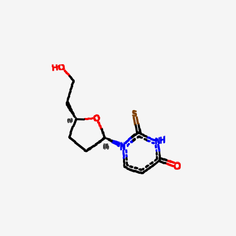 O=c1ccn([C@H]2CC[C@@H](CCO)O2)c(=S)[nH]1